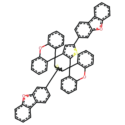 c1ccc2c(c1)Oc1ccccc1C21c2cc(-c3ccc4c(c3)oc3ccccc34)sc2C2(c3ccccc3Oc3ccccc32)c2cc(-c3ccc4c(c3)oc3ccccc34)sc21